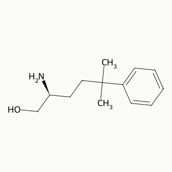 CC(C)(CC[C@H](N)CO)c1ccccc1